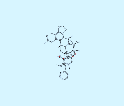 COc1c(C)cc2c(c1O)[C@@H]1C3[C@@H]4SC[C@H](OC(=O)/C=C/c5ccccc5)C(=O)OC[C@@H](c5c6c(c(C)c(OC(C)=O)c54)OCO6)N3[C@@H](O)[C@H](C2)N1C